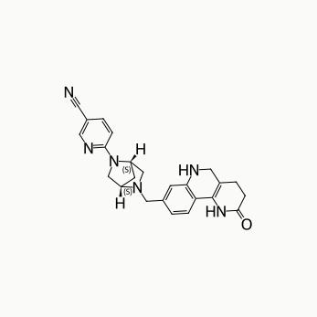 N#Cc1ccc(N2C[C@@H]3C[C@H]2CN3Cc2ccc3c(c2)NCC2=C3NC(=O)CC2)nc1